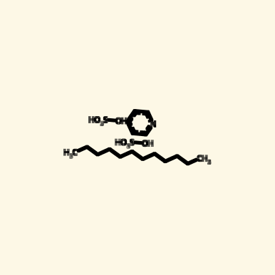 CCCCCCCCCCCC.O=S(=O)(O)O.O=S(=O)(O)O.c1ccncc1